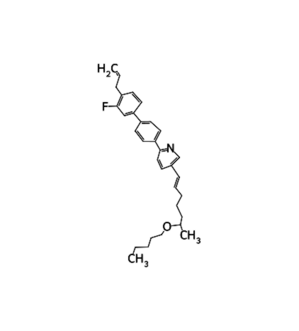 C=CCc1ccc(-c2ccc(-c3ccc(C=CCCCC(C)OCCCCC)cn3)cc2)cc1F